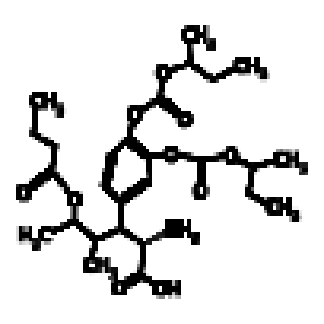 CCCC(=O)OC(C)C(C)C(c1ccc(OC(=O)OC(C)CC)c(OC(=O)OC(C)CC)c1)[C@H](N)C(=O)O